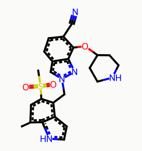 Cc1cc(S(C)(=O)=O)c(Cn2cc3ccc(C#N)c(OC4CCNCC4)c3n2)c2cc[nH]c12